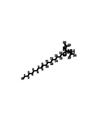 CCCCCCCCC=CCCCCCCCCOC(=NC(C)C)NC(C)C